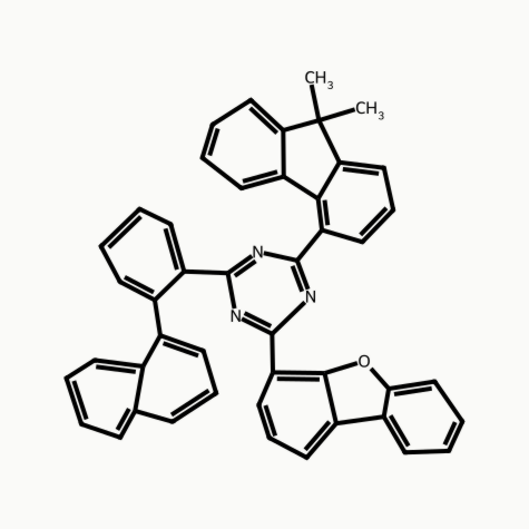 CC1(C)c2ccccc2-c2c(-c3nc(-c4ccccc4-c4cccc5ccccc45)nc(-c4cccc5c4oc4ccccc45)n3)cccc21